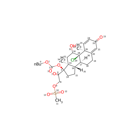 CCCCOC(=O)O[C@]1(C(=O)COS(C)(=O)=O)CC[C@H]2[C@@H]3CCC4=CC(=O)C=C[C@]4(C)[C@@]3(Cl)C(O)C[C@@]21C